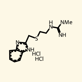 CNC(=N)NCCSCc1nc2ccccc2[nH]1.Cl.Cl